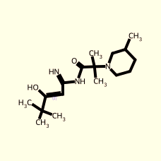 CC1CCCN(C(C)(C)C(=O)NC(=N)/C=C(\O)C(C)(C)C)C1